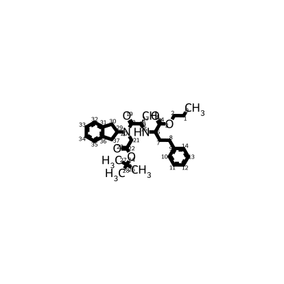 CCCOC(=O)C(CCc1ccccc1)N[C@@H](C)C(=O)N(CC(=O)OC(C)(C)C)C1Cc2ccccc2C1